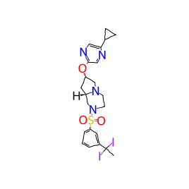 CC(I)(I)c1cccc(S(=O)(=O)N2CCN3C[C@H](Oc4cnc(C5CC5)cn4)C[C@H]3C2)c1